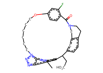 Cc1c2cnc3c1nnn3CCCCCCOc1ccc(c(F)c1)C(=O)N1CCc3ccc(cc3C1)C2CC(=O)O